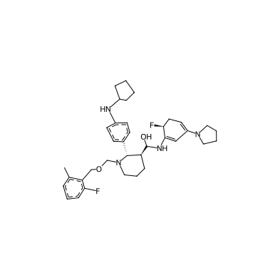 Cc1cccc(F)c1COCN1CCC[C@H](C(O)NC2=CC(N3CCCC3)=CC[C@@H]2F)[C@H]1c1ccc(NC2CCCC2)cc1